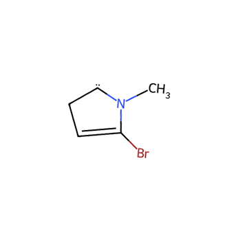 CN1[C]CC=C1Br